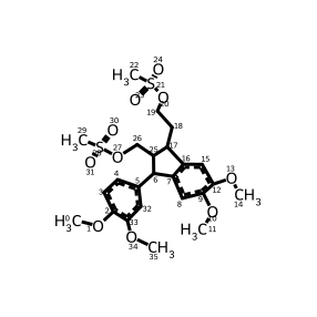 COc1ccc(C2c3cc(OC)c(OC)cc3C(CCOS(C)(=O)=O)C2COS(C)(=O)=O)cc1OC